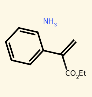 C=C(C(=O)OCC)c1ccccc1.N